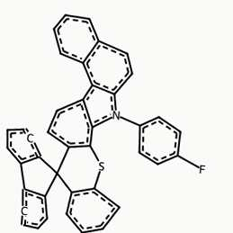 Fc1ccc(-n2c3ccc4ccccc4c3c3ccc4c(c32)Sc2ccccc2C42c3ccccc3-c3ccccc32)cc1